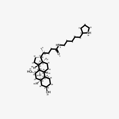 C[C@H](CCC(=O)NCCCCCC1CCCN1)[C@H]1CC[C@H]2[C@@H]3[C@@H](O)C[C@@H]4C[C@H](O)CC[C@]4(C)[C@H]3CC[C@]12C